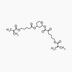 C=C(C)C(=O)OCCCCC(=O)OC1CCOC(OC(=O)C(=O)CCCCOC(=O)C(=C)C)C1